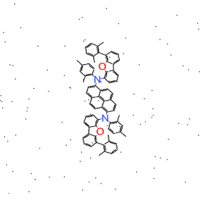 Cc1ccc(N(c2ccc3ccc4c(N(c5ccc(C)cc5C)c5cccc6c5oc5c(-c7c(C)cccc7C)cccc56)ccc5ccc2c3c54)c2cccc3c2oc2c(-c4c(C)cccc4C)cccc23)c(C)c1